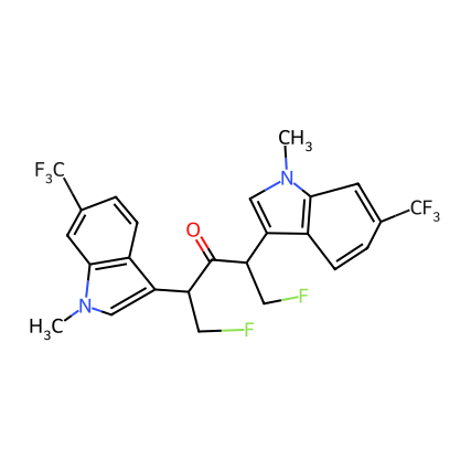 Cn1cc(C(CF)C(=O)C(CF)c2cn(C)c3cc(C(F)(F)F)ccc23)c2ccc(C(F)(F)F)cc21